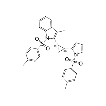 Cc1ccc(S(=O)(=O)n2cccc2[C@@H]2C[C@@H]2c2c(C)c3ccccc3n2S(=O)(=O)c2ccc(C)cc2)cc1